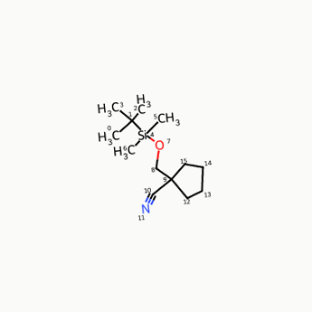 CC(C)(C)[Si](C)(C)OCC1(C#N)CCCC1